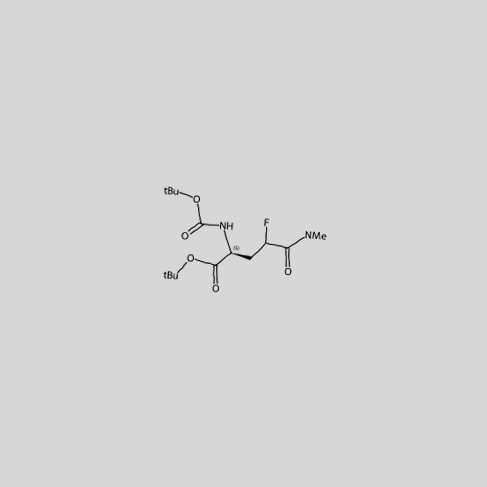 CNC(=O)C(F)C[C@H](NC(=O)OC(C)(C)C)C(=O)OC(C)(C)C